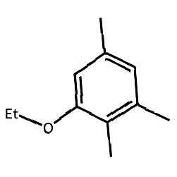 CCOc1cc(C)cc(C)c1C